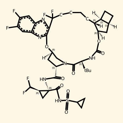 CC(C)(C)[C@@H]1NC(=O)O[C@@H]2C[C@@H]3CC[C@@H]3[C@H]2CCCCC(F)(F)c2nc3cc(F)c(F)cc3nc2O[C@@H]2C[C@@H](C(=O)N[C@]3(C(=O)NS(=O)(=O)C4CC4)C[C@H]3C(F)F)N(C2)C1=O